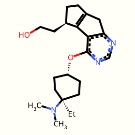 CC[C@]1(N(C)C)CC[C@H](Oc2ncnc3c2C2=C(CC[C@@H]2CCO)C3)CC1